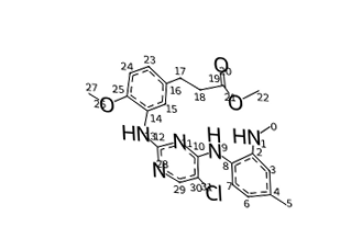 CNc1cc(C)ccc1Nc1nc(Nc2cc(CCC(=O)OC)ccc2OC)ncc1Cl